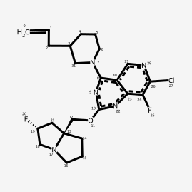 C=CCC1CCCN(c2nc(OC[C@@]34CCCN3C[C@H](F)C4)nc3c(F)c(Cl)ncc23)C1